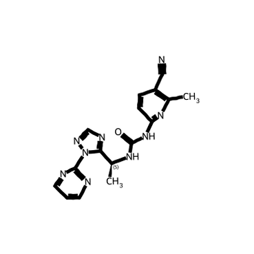 Cc1nc(NC(=O)N[C@@H](C)c2ncnn2-c2ncccn2)ccc1C#N